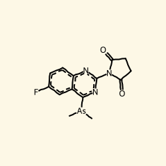 C[As](C)c1nc(N2C(=O)CCC2=O)nc2ccc(F)cc12